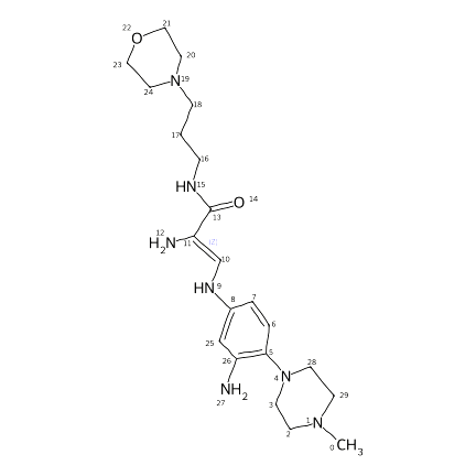 CN1CCN(c2ccc(N/C=C(\N)C(=O)NCCCN3CCOCC3)cc2N)CC1